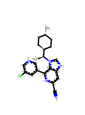 C[C@@H]([C@H]1CC[C@H](C)CC1)n1cnc2cc(C#N)nc(-c3cncc(Cl)c3)c21